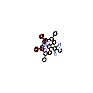 N#Cc1cc(-c2c(-c3ccccc3)c(-n3c4ccc(-c5ccccc5)cc4c4cc(-c5ccccc5)ccc43)c(-n3c4ccc(-c5ccccc5)cc4c4cc(-c5ccccc5)ccc43)c(-n3c4ccc(-c5ccccc5)cc4c4cc(-c5ccccc5)ccc43)c2-c2ccccc2)cc(C#N)c1-c1ccccn1